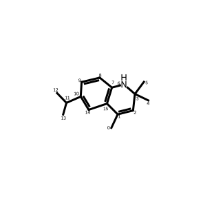 CC1=CC(C)(C)Nc2ccc(C(C)C)cc21